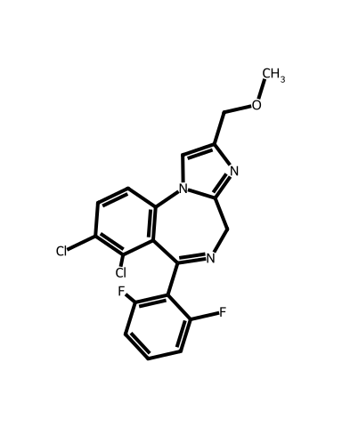 COCc1cn2c(n1)CN=C(c1c(F)cccc1F)c1c-2ccc(Cl)c1Cl